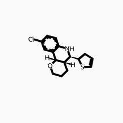 Clc1ccc2c(c1)[C@H]1OCCC[C@H]1[C@H](C1CC=CS1)N2